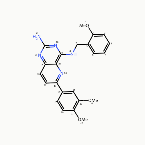 COc1ccccc1CNc1nc(N)nc2ccc(-c3ccc(OC)c(OC)c3)nc12